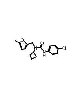 Cc1ccc(CN(C(=O)Nc2ccc(Cl)cc2)C2CCC2)o1